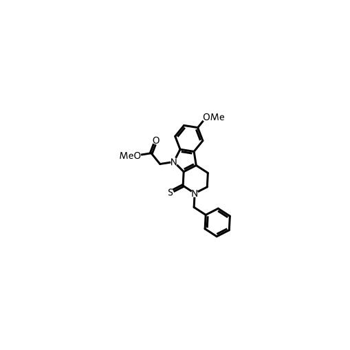 COC(=O)Cn1c2c(c3cc(OC)ccc31)CCN(Cc1ccccc1)C2=S